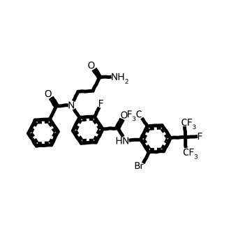 NC(=O)CCN(C(=O)c1ccccc1)c1cccc(C(=O)Nc2c(Br)cc(C(F)(C(F)(F)F)C(F)(F)F)cc2C(F)(F)F)c1F